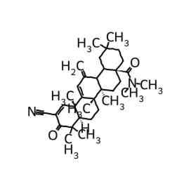 C=C1C=C2[C@@]3(C)C=C(C#N)C(=O)C(C)(C)[C@@H]3CC[C@@]2(C)[C@]2(C)CC[C@@]3(C(=O)N(C)C)CCC(C)(C)CC3C12